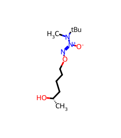 C[C@H](O)CCCCO/N=[N+](\[O-])N(C)C(C)(C)C